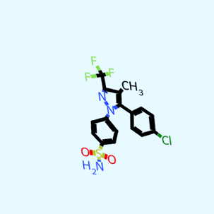 Cc1c(C(F)(F)F)nn(-c2ccc(S(N)(=O)=O)cc2)c1-c1ccc(Cl)cc1